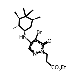 CCOC(=O)CCn1ncc(N[C@@H]2C[C@H](C)C(C)(C)[C@H](C)[C@H]2C)c(Br)c1=O